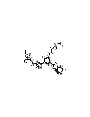 COCCOc1cc(-c2cn3ncccc3n2)cc(-c2noc(COC(C)=O)n2)c1